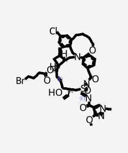 C=C[C@@H]1CS(=O)(/C=N/C(=O)c2cn(C)nc2OC)=NC(=O)c2ccc3c(c2)N(Cc2ccc(Cl)cc2CCCCO3)C[C@@H]2C(=C)C[C@H]2[C@@H](OC(=O)CCCBr)/C=C/C1O